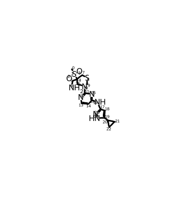 CS(=O)(=O)C1(CN)CSCN(c2nccc(Nc3cc(C4CC4)[nH]n3)n2)C1